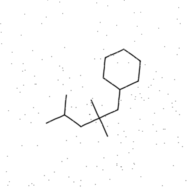 CC(C)CC(C)(C)CC1CCCCC1